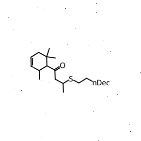 CCCCCCCCCCCCSC(C)CC(=O)C1C(C)C=CCC1(C)C